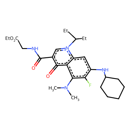 CCOC(=O)CNC(=O)c1cn(C(CC)CC)c2cc(NC3CCCCC3)c(F)c(N(C)C)c2c1=O